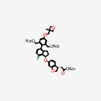 COCc1cc(OCC2(C)COC2)cc(COC)c1-c1ccc(F)c2c1CC[C@H]2Oc1ccc2c(c1)OC[C@H]2CC(=O)OC